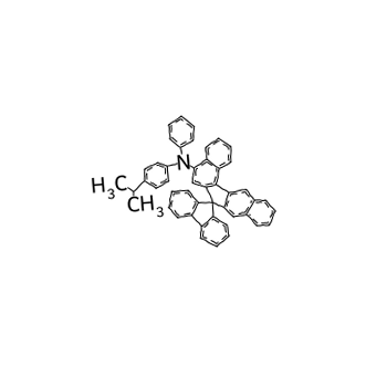 CC(C)c1ccc(N(c2ccccc2)c2cc3c(c4ccccc24)-c2cc4ccccc4cc2C32c3ccccc3-c3ccccc32)cc1